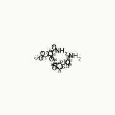 CCOC(=O)Cc1ccc(C(N)=O)cc1OCc1coc2ccc(-c3cccc(CN)c3)cc12